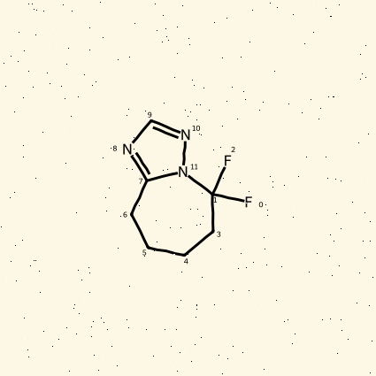 FC1(F)CCCCc2ncnn21